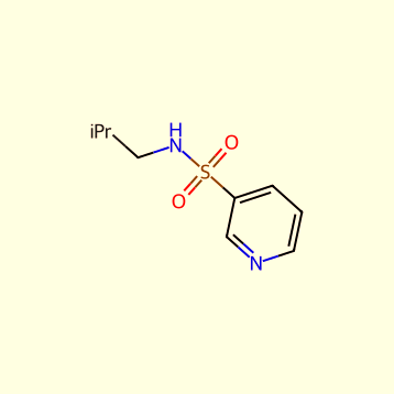 CC(C)CNS(=O)(=O)c1cccnc1